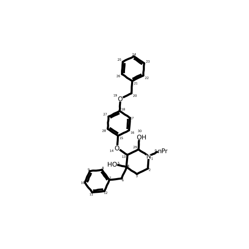 CCCN1CCC(O)(Cc2ccccc2)C(Oc2ccc(OCc3ccccc3)cc2)C1O